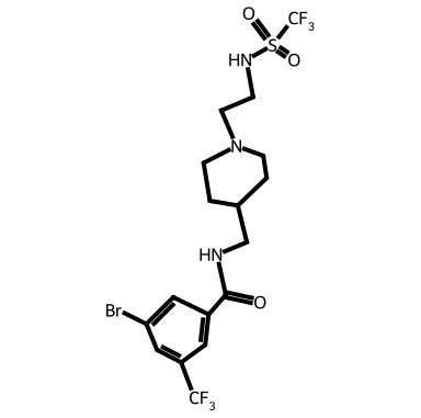 O=C(NCC1CCN(CCNS(=O)(=O)C(F)(F)F)CC1)c1cc(Br)cc(C(F)(F)F)c1